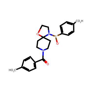 O=C(O)c1ccc(C(=O)N2CCC3(CC2)OCCN3[S+]([O-])c2ccc(C(=O)O)cc2)cc1